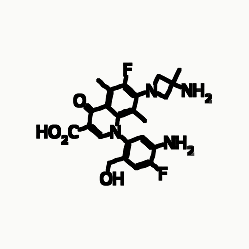 Cc1c(F)c(N2CC(C)(N)C2)c(C)c2c1c(=O)c(C(=O)O)cn2-c1cc(N)c(F)cc1CO